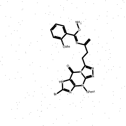 C=C(CCc1nnc2n(CCCCC)c3nc(Br)[nH]c3c(=O)n12)/N=C(\ON)c1ccccc1OC